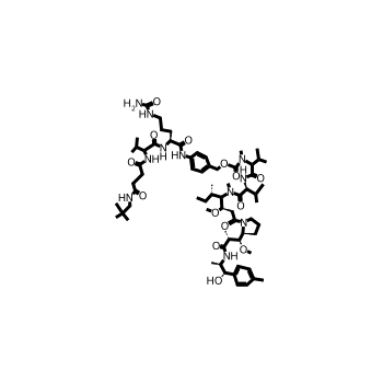 CC[C@H](C)C([C@@H](CC(=O)N1CCC[C@H]1[C@H](OC)[C@@H](C)C(=O)N[C@H](C)[C@@H](O)c1ccc(C)cc1)OC)N(C)C(=O)[C@@H](NC(=O)C(C(C)C)N(C)C(=O)OCc1ccc(NC(=O)[C@H](CCCNC(N)=O)NC(=O)C(NC(=O)CCC(=O)NCC(C)(C)C)C(C)C)cc1)C(C)C